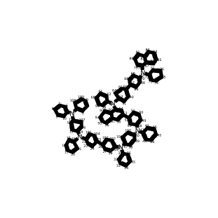 c1ccc(N(c2ccccc2)c2ccc(N(c3ccccc3)c3ccc(-c4ccc(N(c5ccccc5)c5ccc(N(c6ccccc6)c6cccc(-c7cc(N(c8ccccc8)c8ccc(-c9ccc(N(c%10ccccc%10)c%10cccc%11ccccc%10%11)cc9)cc8)c8ccccc8c7)c6)cc5)cc4)cc3)cc2)cc1